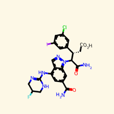 NC(=O)c1cc(NC2=NCC(F)CN2)c2cnn(C(C(N)=O)[C@@H](CC(=O)O)c3cc(Cl)cc(I)c3)c2c1